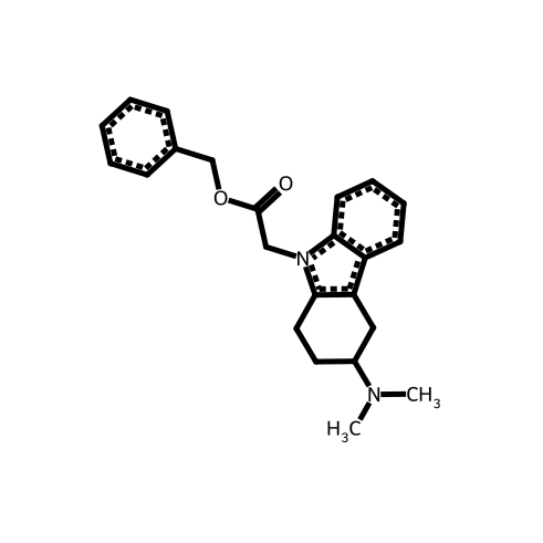 CN(C)C1CCc2c(c3ccccc3n2CC(=O)OCc2ccccc2)C1